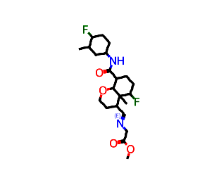 COC(=O)C/N=C/C1CCOC2C(C(=O)NC3CCC(F)C(C)C3)CCC(F)C12C